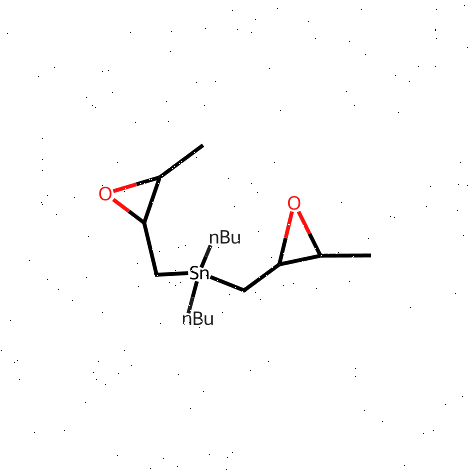 CCC[CH2][Sn]([CH2]CCC)([CH2]C1OC1C)[CH2]C1OC1C